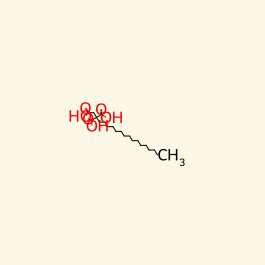 CCCCCCCCCCCCCCCCC(CC(=O)O)(C(=O)O)C(=O)O